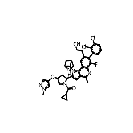 Cc1nc2c(F)c(-c3cccc(Cl)c3Cl)c(CCC#N)cc2c2c1cc(C1CC(Oc3cnn(C)c3)CN1C(=O)C1CC1)n2C1C2CNC1C2